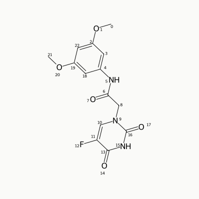 COc1cc(NC(=O)Cn2cc(F)c(=O)[nH]c2=O)cc(OC)c1